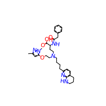 Cc1cc(OCCN(CCCCc2ccc3c(n2)NCCC3)CCC(NC(=O)Cc2ccccc2)C(=O)O)n(C)n1